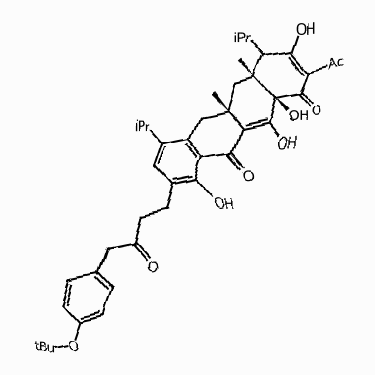 CC(=O)C1=C(O)C(C(C)C)[C@@]2(C)C[C@@]3(C)Cc4c(C(C)C)cc(CCC(=O)Cc5ccc(OC(C)(C)C)cc5)c(O)c4C(=O)C3=C(O)[C@@]2(O)C1=O